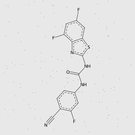 N#Cc1ccc(NC(=O)Nc2nc3c(F)cc(F)cc3s2)cc1F